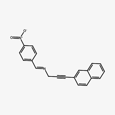 O=[N+]([O-])c1ccc(C=NCC#Cc2ccc3ccccc3c2)cc1